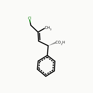 C/C(=C\[C@H](C(=O)O)c1ccccc1)CCl